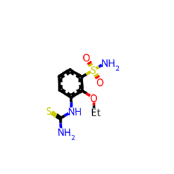 CCOc1c(NC(N)=S)cccc1S(N)(=O)=O